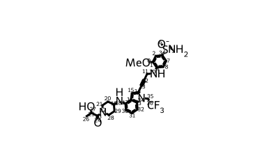 COc1cc([S+](N)[O-])ccc1NCC#Cc1cc2c(NC3CCN(C(=O)C(C)O)CC3)cccc2n1CC(F)(F)F